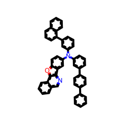 c1ccc(-c2ccc(-c3cccc(N(c4cccc(-c5cccc6ccccc56)c4)c4ccc5oc6c7ccccc7cnc6c5c4)c3)cc2)cc1